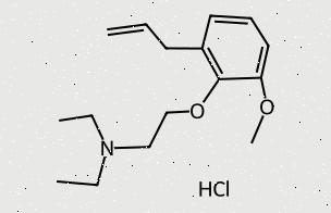 C=CCc1cccc(OC)c1OCCN(CC)CC.Cl